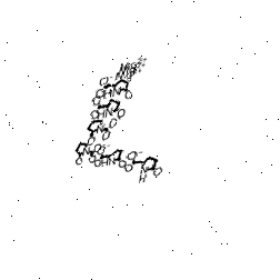 O=C([O-])N1CCCC1=O.O=C([O-])N1CCCC1=O.O=C1CCC(C(=O)[O-])N1.O=C1CCC(C(=O)[O-])N1.O=C1CCC(C(=O)[O-])N1.O=C1CCC(C(=O)[O-])N1.[Mg+2].[Mg+2].[Mg+2]